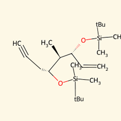 C#CC[C@@H](O[Si](C)(C)C(C)(C)C)[C@@H](C)[C@@H](C=C)O[Si](C)(C)C(C)(C)C